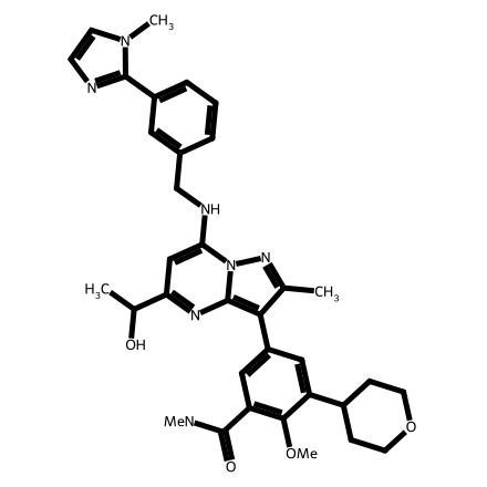 CNC(=O)c1cc(-c2c(C)nn3c(NCc4cccc(-c5nccn5C)c4)cc(C(C)O)nc23)cc(C2CCOCC2)c1OC